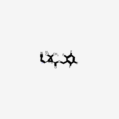 CC1(C)[C@H](/C=C\C#N)[C@@H]1C(=O)OCc1c(F)c(F)cc(F)c1F